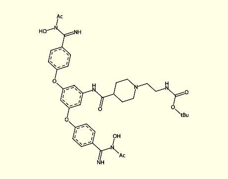 CC(=O)N(O)C(=N)c1ccc(Oc2cc(NC(=O)C3CCN(CCNC(=O)OC(C)(C)C)CC3)cc(Oc3ccc(C(=N)N(O)C(C)=O)cc3)c2)cc1